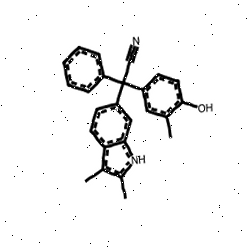 Cc1cc(C(C#N)(c2ccccc2)c2ccc3c(C)c(C)[nH]c3c2)ccc1O